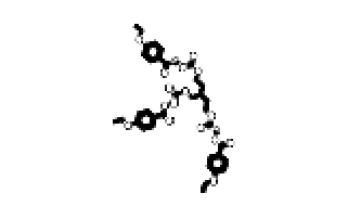 CCOc1ccc(C(=O)OOC(=O)OCCC(CCOC(=O)OOC(=O)c2ccc(OCC)cc2)COC(=O)OOC(=O)c2ccc(OCC)cc2)cc1